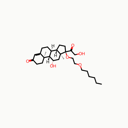 CCCCCCOCCO[C@]1(C(=O)CO)CC[C@H]2[C@@H]3CCC4=CC(=O)CC[C@]4(C)[C@H]3[C@@H](O)C[C@@]21C